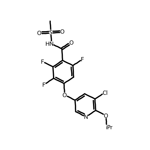 CC(C)Oc1ncc(Oc2cc(F)c(C(=O)NS(C)(=O)=O)c(F)c2F)cc1Cl